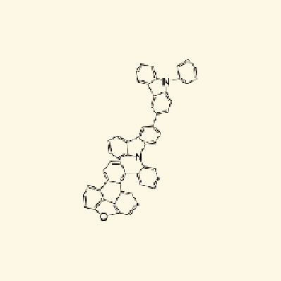 c1ccc(-n2c3ccccc3c3cc(-c4ccc5c(c4)c4ccccc4n5-c4ccccc4-c4cccc5c6cccc7oc8cccc(c45)c8c76)ccc32)cc1